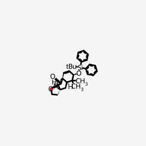 CC1(C)[C@H]2C[C@@]34CCCN3C(=O)[C@]2(C=C[C@H]1O[Si](c1ccccc1)(c1ccccc1)C(C)(C)C)NC4=O